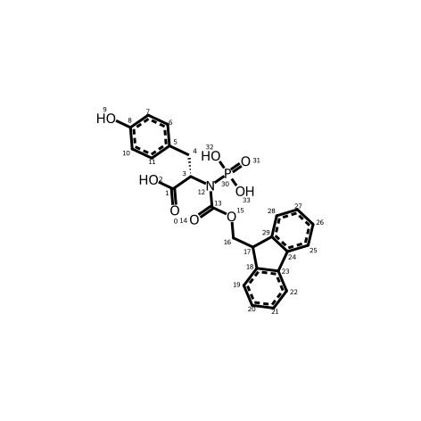 O=C(O)[C@H](Cc1ccc(O)cc1)N(C(=O)OCC1c2ccccc2-c2ccccc21)P(=O)(O)O